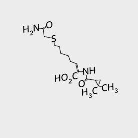 CC1(C)CC1C(=O)N/C(=C/CCCCCSCC(N)=O)C(=O)O